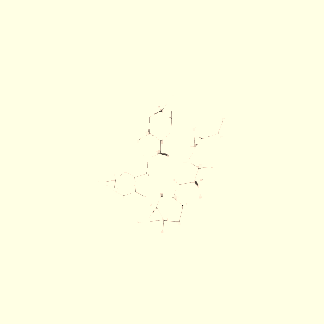 CC1CC2OC2CC1COC(=O)C1CC2OC2CC1C.CCC1OC1CC(C)C(=O)OC1CCC2(C)OC2C1